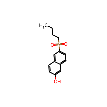 CCCCS(=O)(=O)c1ccc2cc(O)ccc2c1